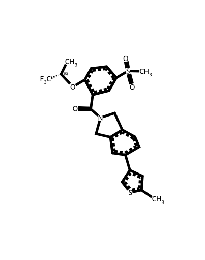 Cc1cc(-c2ccc3c(c2)CN(C(=O)c2cc(S(C)(=O)=O)ccc2O[C@@H](C)C(F)(F)F)C3)cs1